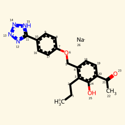 CCCc1c(COc2ccc(-c3nnn[nH]3)cc2)ccc(C(C)=O)c1O.[Na]